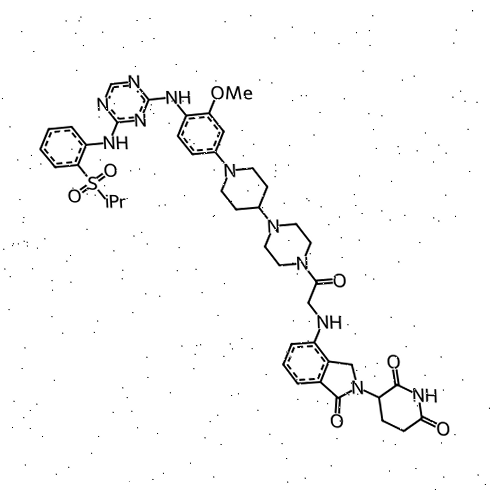 COc1cc(N2CCC(N3CCN(C(=O)CNc4cccc5c4CN(C4CCC(=O)NC4=O)C5=O)CC3)CC2)ccc1Nc1ncnc(Nc2ccccc2S(=O)(=O)C(C)C)n1